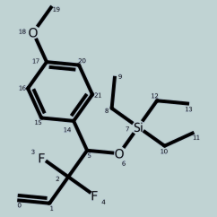 C=CC(F)(F)C(O[Si](CC)(CC)CC)c1ccc(OC)cc1